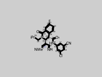 CN/C=C(\C=N)[C@@H]1[C@@H](C(=O)Nc2cc(Cl)cc(C#N)c2)c2ccc(F)cc2C(=O)N1CC(C)C